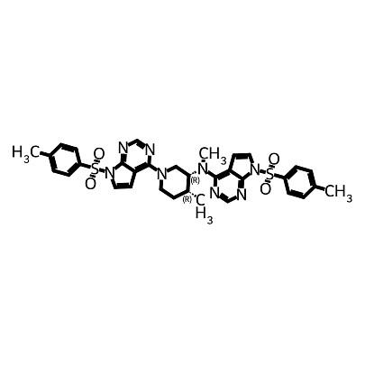 Cc1ccc(S(=O)(=O)n2ccc3c(N4CC[C@@H](C)[C@@H](N(C)c5ncnc6c5ccn6S(=O)(=O)c5ccc(C)cc5)C4)ncnc32)cc1